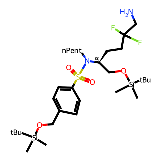 CCCCCN([C@@H](CCC(F)(F)CN)CO[Si](C)(C)C(C)(C)C)S(=O)(=O)c1ccc(CO[Si](C)(C)C(C)(C)C)cc1